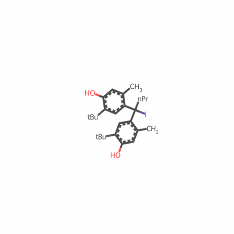 CCCC(I)(c1cc(C(C)(C)C)c(O)cc1C)c1cc(C(C)(C)C)c(O)cc1C